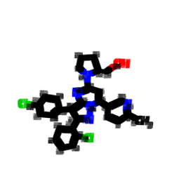 Cc1ccc(-c2cc(N3CCC[C@H]3CO)nc3c(-c4ccc(Cl)cc4)c(-c4ccccc4Cl)nn23)cn1